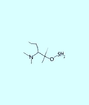 CCC(N(C)C)C(C)(C)O[SiH3]